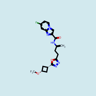 C=C(CCc1nnc([C@H]2C[C@@H](OC(F)(F)F)C2)o1)NC(=O)c1cn2ccc(F)cc2n1